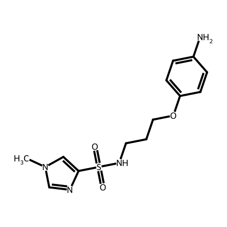 Cn1cnc(S(=O)(=O)NCCCOc2ccc(N)cc2)c1